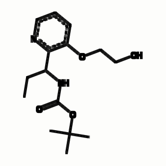 CCC(NC(=O)OC(C)(C)C)c1ncccc1OCCO